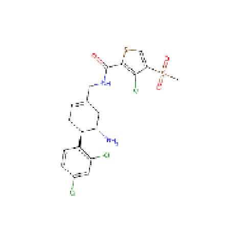 CS(=O)(=O)c1csc(C(=O)NCC2=CC[C@H](c3ccc(Cl)cc3Cl)[C@@H](N)C2)c1Cl